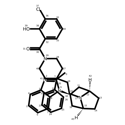 Cc1nc2ccccc2n1[C@H]1C[C@H]2CC[C@@H](C1)N2CCC1(c2ccccc2)CCN(C(=O)c2cccc(Cl)c2O)CC1